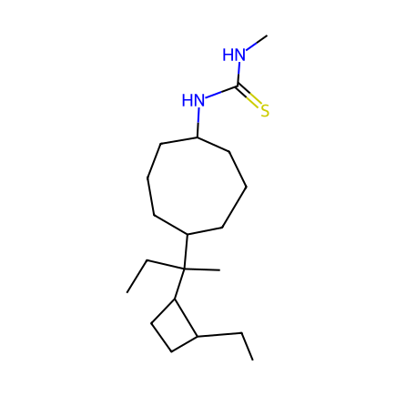 CCC1CCC1C(C)(CC)C1CCCC(NC(=S)NC)CCC1